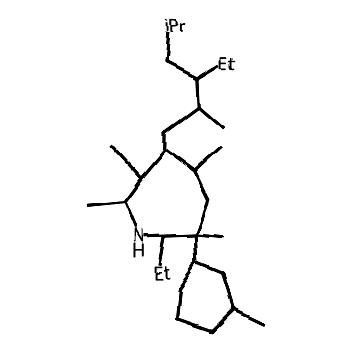 CCC(CC(C)C)C(C)CC1C(C)CC(C)(C2CCCC(C)C2)C(CC)NC(C)C1C